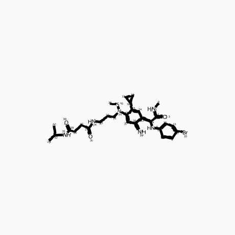 CNC(=O)/C(Nc1ccc(Br)cc1)=C1\C=C(C2CC2)C(N(CCCNC(=O)CCC(=O)NC(C)C)SC)=CC1=N